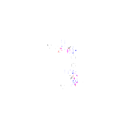 COC(=O)NC(C(=O)[C@H]1CCCC[C@H]1c1ncc(-c2ccc(-c3ccc(-c4cnc([C@H]5CCCC[C@H]5C(=O)N(NC(=O)OC)C(C)C)[nH]4)cc3)cc2)[nH]1)C(C)C